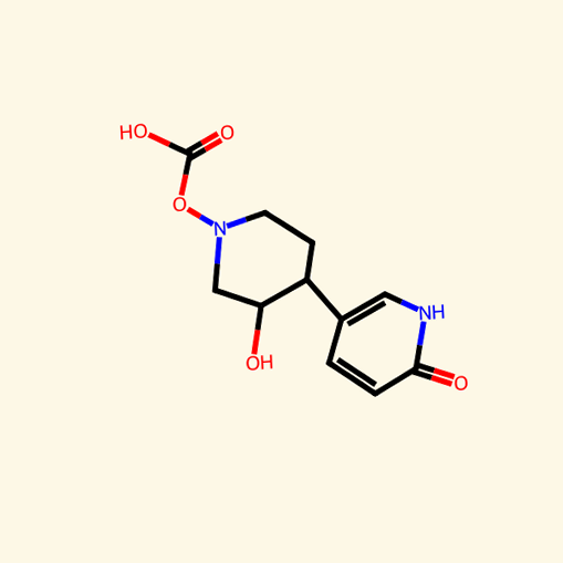 O=C(O)ON1CCC(c2ccc(=O)[nH]c2)C(O)C1